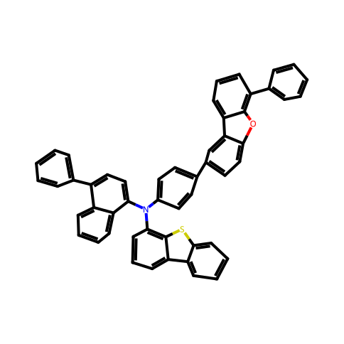 c1ccc(-c2ccc(N(c3ccc(-c4ccc5oc6c(-c7ccccc7)cccc6c5c4)cc3)c3cccc4c3sc3ccccc34)c3ccccc23)cc1